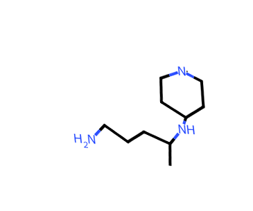 CC(CCCN)NC1CC[N]CC1